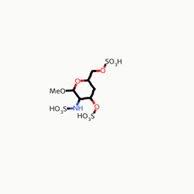 COC1OC(COS(=O)(=O)O)CC(OS(=O)(=O)O)C1NS(=O)(=O)O